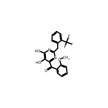 COc1ccccc1C(=O)c1nc(Cc2ccccc2C(F)(F)F)nc(O)c1O